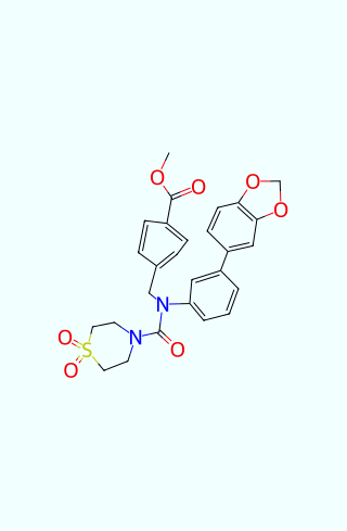 COC(=O)c1ccc(CN(C(=O)N2CCS(=O)(=O)CC2)c2cccc(-c3ccc4c(c3)OCO4)c2)cc1